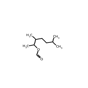 CC(C)CCC(C)C(C)OC=O